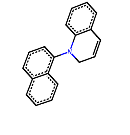 C1=Cc2ccccc2N(c2cccc3ccccc23)C1